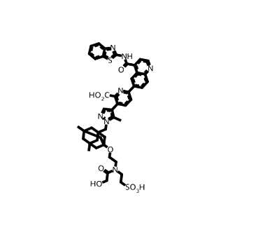 Cc1c(-c2ccc(-c3ccc4nccc(C(=O)Nc5nc6ccccc6s5)c4c3)nc2C(=O)O)cnn1CC12CC3(C)CC(C)(C1)CC(OCCN(CCS(=O)(=O)O)C(=O)CO)(C3)C2